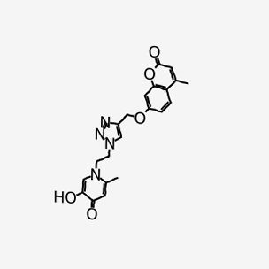 Cc1cc(=O)oc2cc(OCc3cn(CCn4cc(O)c(=O)cc4C)nn3)ccc12